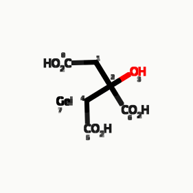 O=C(O)CC(O)(CC(=O)O)C(=O)O.[Ge]